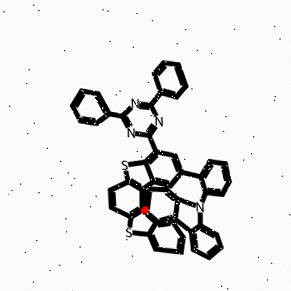 c1ccc(-c2nc(-c3ccccc3)nc(-c3cc(-c4ccccc4-n4c5ccccc5c5ccccc54)cc4c3sc3ccc5sc6ccccc6c5c34)n2)cc1